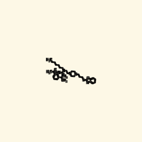 CCCCCCCN(CCN1CCN(CCCSc2nc3ccccc3o2)CC1)C(=O)Nc1c(C(C)C)cccc1C(C)C